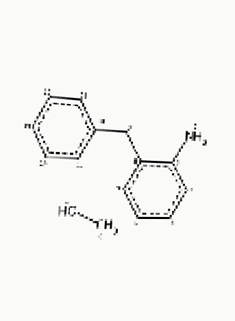 CO.Nc1ccccc1Cc1ccccc1